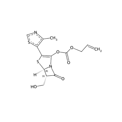 C=CCOC(=O)OC1=C(c2scnc2C)S[C@@H]2[C@@H](CO)C(=O)N12